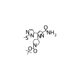 CSc1nccc(-c2cc(C(N)=O)nn2C2CCN(C(=O)OC(C)(C)C)CC2)n1